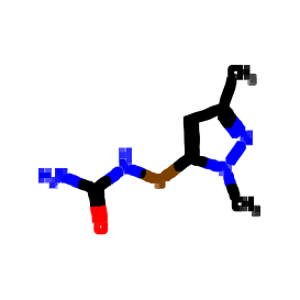 Cc1cc(SNC(N)=O)n(C)n1